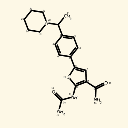 CC(c1ccc(-c2cc(C(N)=O)c(NC(N)=O)s2)cc1)N1CCCCC1